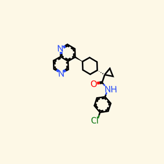 O=C(Nc1ccc(Cl)cc1)C1([C@H]2CC[C@H](c3ccnc4ccncc43)CC2)CC1